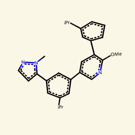 COc1ncc(-c2cc(-c3ccnn3C)cc(C(C)C)c2)cc1-c1cccc(C(C)C)c1